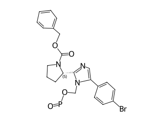 O=POCn1c(-c2ccc(Br)cc2)cnc1[C@@H]1CCCN1C(=O)OCc1ccccc1